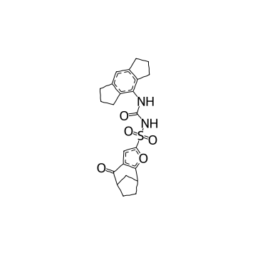 O=C(Nc1c2c(cc3c1CCC3)CCC2)NS(=O)(=O)c1cc2c(o1)C1CCC(C1)C2=O